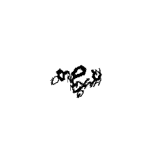 COc1ccc(Cn2nc(-c3ncc(OC)c(Nc4ccnc(C)c4)n3)c3ccccc32)cc1